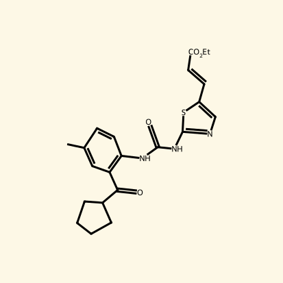 CCOC(=O)C=Cc1cnc(NC(=O)Nc2ccc(C)cc2C(=O)C2CCCC2)s1